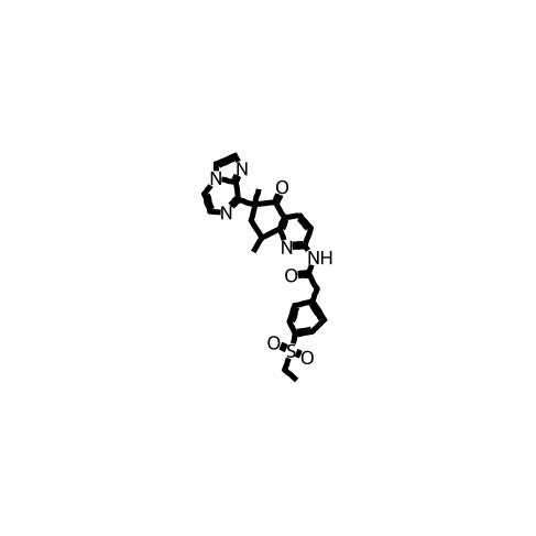 CCS(=O)(=O)c1ccc(CC(=O)Nc2ccc3c(n2)C(C)CC(C)(c2nccn4ccnc24)C3=O)cc1